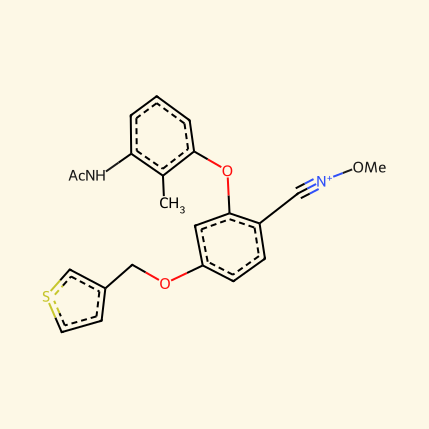 CO[N+]#Cc1ccc(OCc2ccsc2)cc1Oc1cccc(NC(C)=O)c1C